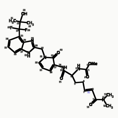 COC(=O)NC(CC/C=C/C(=O)N(C)C)C(=O)Nc1cccn(Cc2nc3c(C(F)(F)C(C)(C)O)cccc3[nH]2)c1=O